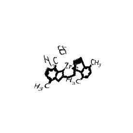 Cc1ccc(C)c2c1C=C1CC[C]3(C=Cc4c(C)ccc(C)c43)[Zr+2][CH]12.[Cl-].[Cl-]